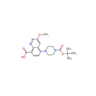 COc1cc2c(N3CCN(C(=O)OC(C)(C)C)CC3)ccc(C(=O)O)c2nn1